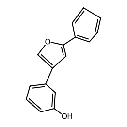 Oc1cccc(-c2coc(-c3ccccc3)c2)c1